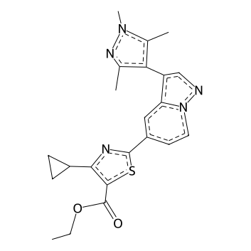 CCOC(=O)c1sc(-c2ccn3ncc(-c4c(C)nn(C)c4C)c3c2)nc1C1CC1